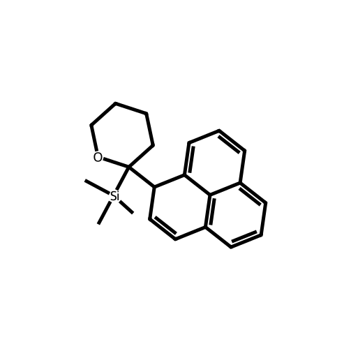 C[Si](C)(C)C1(C2C=Cc3cccc4cccc2c34)CCCCO1